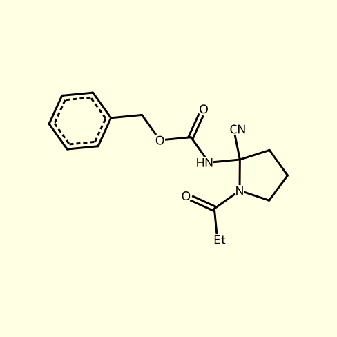 CCC(=O)N1CCCC1(C#N)NC(=O)OCc1ccccc1